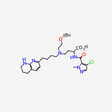 Cn1ncc(Cl)c1C(=O)NC(CCN(CCCCc1ccc2c(n1)NCCC2)CCOC(C)(C)C)C(=O)O